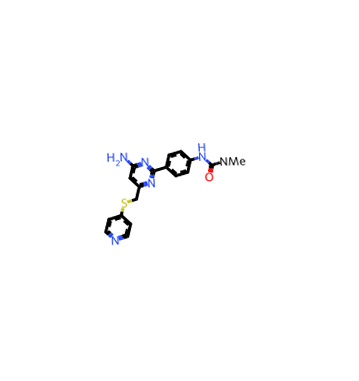 CNC(=O)Nc1ccc(-c2nc(N)cc(CSc3ccncc3)n2)cc1